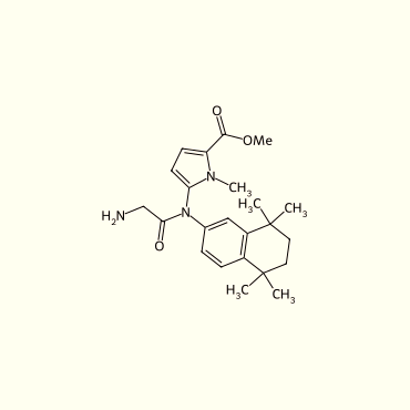 COC(=O)c1ccc(N(C(=O)CN)c2ccc3c(c2)C(C)(C)CCC3(C)C)n1C